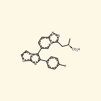 C[C@H](Cc1nnc2ccc(-c3c(-c4ccc(F)cc4)nc4occn34)cn12)C(=O)O